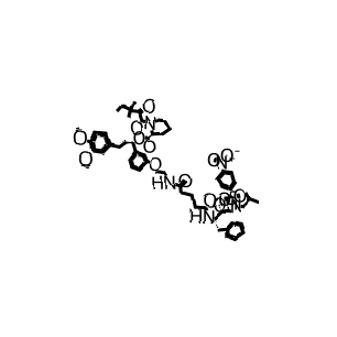 CCC(C)(C)C(=O)C(=O)N1CCCC[C@H]1C(=O)O[C@H](CCc1ccc(OC)c(OC)c1)c1cccc(OCCNC(=O)CCCC(=O)N[C@@H](Cc2ccccc2)[C@H](O)CN(CC(C)C)S(=O)(=O)c2ccc([N+](=O)[O-])cc2)c1